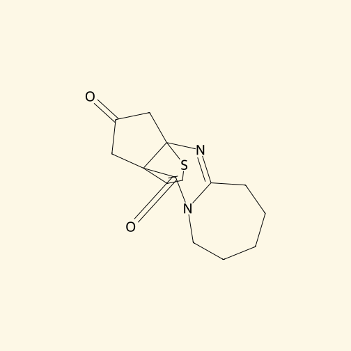 O=C1CC23N=C4CCCCCN4C(=O)C2(C=CS3)C1